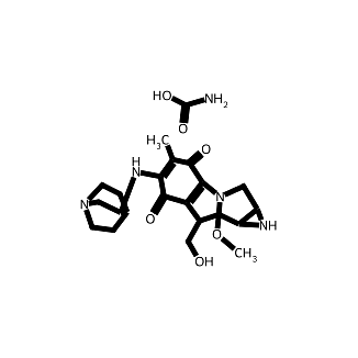 COC12C(CO)C3=C(C(=O)C(C)=C(NC4CN5CCC4CC5)C3=O)N1CC1NC12.NC(=O)O